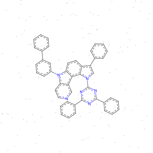 c1ccc(-c2cccc(-n3c4ccncc4c4c5c(ccc43)c(-c3ccccc3)cn5-c3nc(-c4ccccc4)nc(-c4ccccc4)n3)c2)cc1